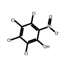 O=[N+]([O-])c1c(O)c(Cl)c(Cl)c(Cl)c1Cl